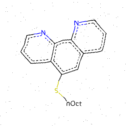 [CH2]CCCCCCCSc1cc2cccnc2c2ncccc12